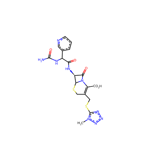 Cn1nnnc1SCC1=C(C(=O)O)N2C(=O)[C@H](NC(=O)C(NC(N)=O)c3cccnc3)C2SC1